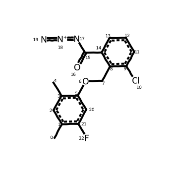 Cc1cc(C)c(OCc2c(Cl)cccc2C(=O)N=[N+]=[N-])cc1F